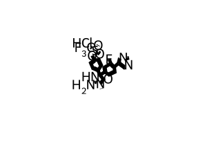 CN1C(=O)C(c2ccc(OS(=O)(=O)C(F)(F)F)cc2)(c2ccc(-c3cncnc3)c(F)c2)NC1N.Cl